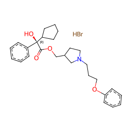 Br.O=C(OCC1CCN(CCCOc2ccccc2)C1)[C@](O)(c1ccccc1)C1CCCC1